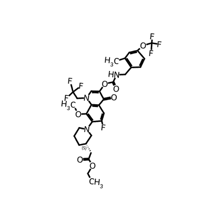 CCOC(=O)C[C@@H]1CCCN(c2c(F)cc3c(=O)c(OC(=O)NCc4ccc(OC(F)(F)F)cc4C)cn(CC(F)(F)F)c3c2OC)C1